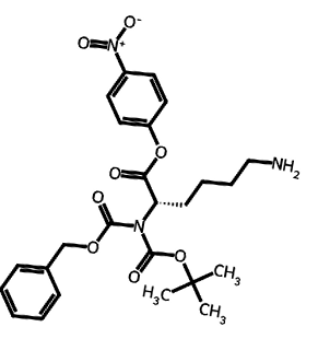 CC(C)(C)OC(=O)N(C(=O)OCc1ccccc1)[C@@H](CCCCN)C(=O)Oc1ccc([N+](=O)[O-])cc1